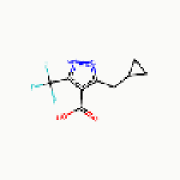 O=C(O)c1c(CC2CC2)n[nH]c1C(F)(F)F